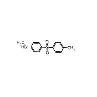 CBc1ccc(S(=O)(=O)c2ccc(C)cc2)cc1